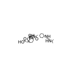 CC(C)NCCN[C@H]1CC[C@H](CC(=O)N[C@H]2CCC[C@H](CC(=O)O)OB2O)CC1